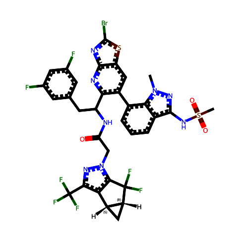 Cn1nc(NS(C)(=O)=O)c2cccc(-c3cc4sc(Br)nc4nc3C(Cc3cc(F)cc(F)c3)NC(=O)Cn3nc(C(F)(F)F)c4c3C(F)(F)[C@@H]3C[C@H]43)c21